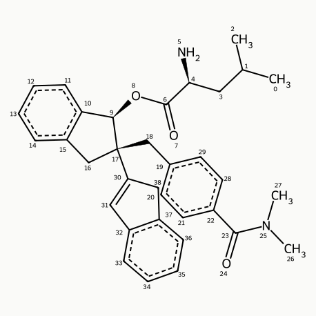 CC(C)C[C@H](N)C(=O)O[C@@H]1c2ccccc2C[C@@]1(Cc1ccc(C(=O)N(C)C)cc1)C1=Cc2ccccc2C1